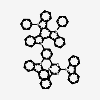 c1ccc(-c2nc(-c3ccc(-n4c5ccccc5c5c6c(c7ccccc7n6-c6ccccc6)c6c(c7ccccc7n6-c6ccccc6)c54)cc3-n3c4ccccc4c4ccccc43)nc(-n3c4ccccc4c4ccccc43)n2)cc1